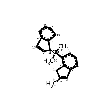 CC1=Cc2cccc([Si](C)(C)C3C=Cc4ccccc43)c2C1